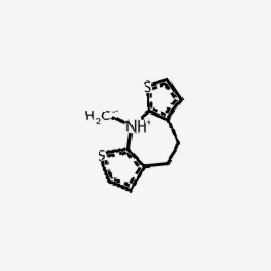 [CH2-][NH+]1c2sccc2CCc2ccsc21